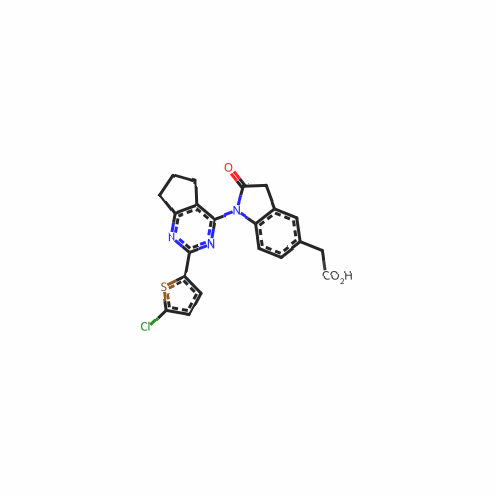 O=C(O)Cc1ccc2c(c1)CC(=O)N2c1nc(-c2ccc(Cl)s2)nc2c1CCC2